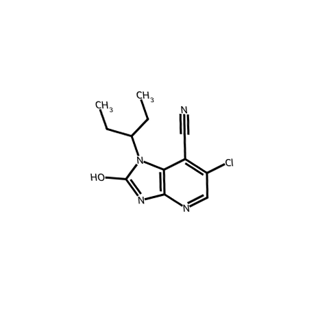 CCC(CC)n1c(O)nc2ncc(Cl)c(C#N)c21